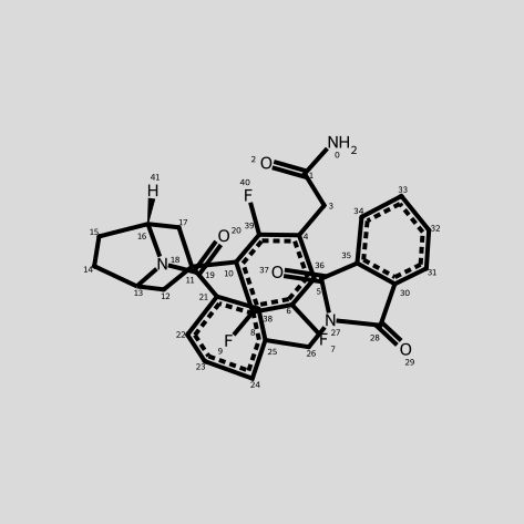 NC(=O)Cc1cc(F)c(F)c(C2CC3CC[C@H](C2)N3C(=O)c2cccc(CN3C(=O)c4ccccc4C3=O)c2)c1F